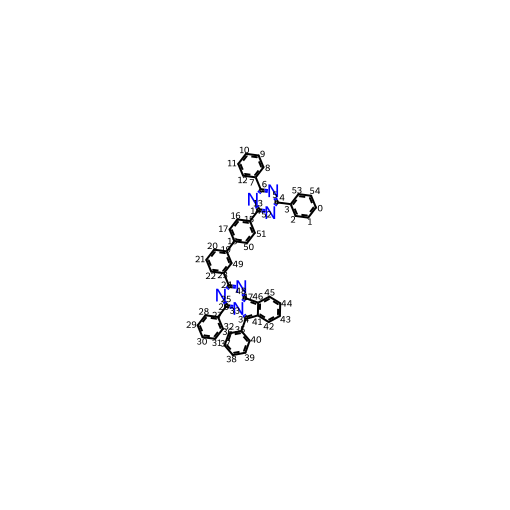 c1ccc(-c2nc(-c3ccccc3)nc(-c3ccc(-c4cccc(-c5nc(-c6ccccc6)n6c(-c7ccccc7)c7ccccc7c6n5)c4)cc3)n2)cc1